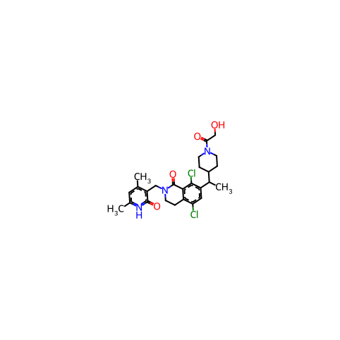 Cc1cc(C)c(CN2CCc3c(Cl)cc(C(C)C4CCN(C(=O)CO)CC4)c(Cl)c3C2=O)c(=O)[nH]1